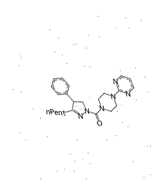 CCCCCC1=NN(C(=O)N2CCN(c3ncccn3)CC2)CC1c1ccccc1